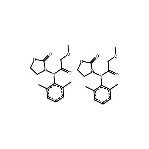 COCC(=O)N(c1c(C)cccc1C)N1CCOC1=O.COCC(=O)N(c1c(C)cccc1C)N1CCOC1=O